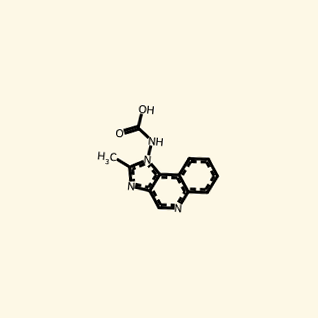 Cc1nc2cnc3ccccc3c2n1NC(=O)O